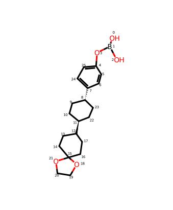 OB(O)Oc1ccc([C@H]2CC[C@H](C3CCC4(CC3)OCCO4)CC2)cc1